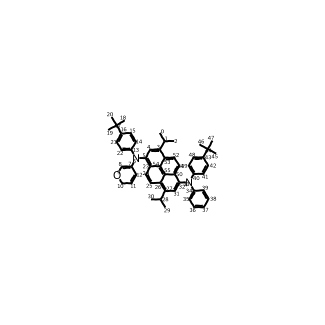 CC(C)c1cc(N(C2=COCC=C2)c2ccc(C(C)(C)C)cc2)c2ccc3c(C(C)C)cc(N(c4ccccc4)c4ccc(C(C)(C)C)cc4)c4ccc1c2c34